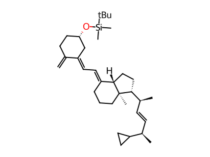 C=C1CC[C@H](O[Si](C)(C)C(C)(C)C)C/C1=C\C=C1/CCC[C@]2(C)[C@@H]([C@@H](C)/C=C/[C@@H](C)C3CC3)CC[C@@H]12